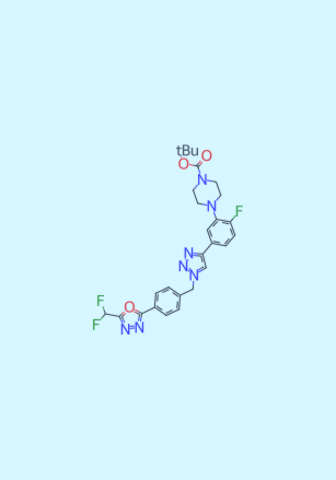 CC(C)(C)OC(=O)N1CCN(c2cc(-c3cn(Cc4ccc(-c5nnc(C(F)F)o5)cc4)nn3)ccc2F)CC1